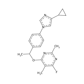 Cc1nc(F)c(C)c(OC(C)c2ccc(-n3cnc(C4CC4)c3)cc2)n1